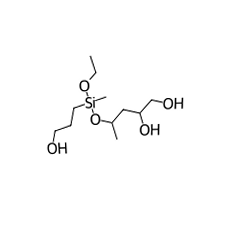 CCO[Si](C)(CCCO)OC(C)CC(O)CO